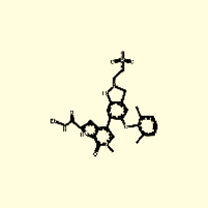 CCNC(=O)c1cc2c(-c3cc4c(cc3Oc3c(C)cccc3C)CN(CCS(C)(=O)=O)N4)cn(C)c(=O)c2[nH]1